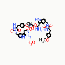 COc1ccc(CC2NC(=O)N(Cc3ccc4[nH]cc(CC(N)OC(=O)/C=C\C(=O)OC(N)Cc5c[nH]c6ccc(CN7C(=O)NC(Cc8ccc(OC)cc8)C7=O)cc56)c4c3)C2=O)cc1.O